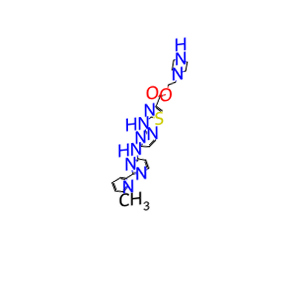 Cc1cccc(-c2nccc(Nc3ccnc(Nc4nc(C(=O)OCCN5CCNCC5)cs4)n3)n2)n1